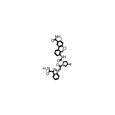 NC(=O)c1ccc(Cl)c(-c2cccc(NC(=O)[C@@H]3C[C@@H](F)CN3C(=O)Cn3nc(C(N)=O)c4ccccc43)c2F)c1